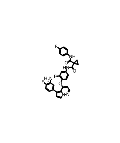 Nc1cc(-c2ccn3nccc(Oc4ccc(NC(=O)C5(C(=O)Nc6ccc(F)cc6)CC5)cc4F)c23)ccc1F